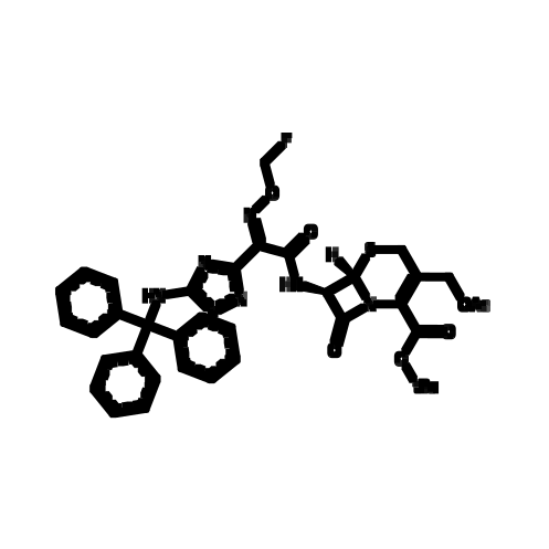 CC(=O)OCC1=C(C(=O)OC(C)(C)C)N2C(=O)[C@@H](NC(=O)/C(=N\OCF)c3nsc(NC(c4ccccc4)(c4ccccc4)c4ccccc4)n3)[C@@H]2SC1